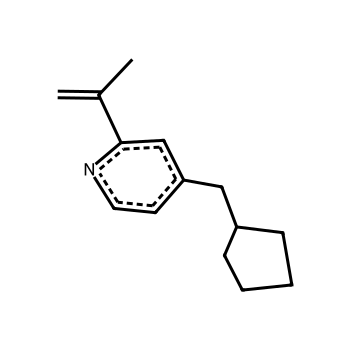 C=C(C)c1cc(CC2CCCC2)ccn1